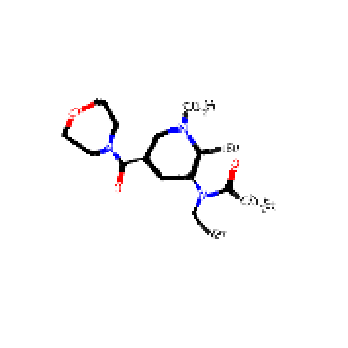 CCOC(=O)C(=O)N(CC(C)C)[C@H]1C[C@@H](C(=O)N2CCOCC2)CN(C(=O)O)C1C(C)(C)C